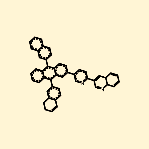 C1=CC2C=C(c3ccc(-c4ccc5c(-c6ccc7ccccc7c6)c6ccccc6c(-c6ccc7c(c6)CCC=C7)c5c4)cn3)C=NC2C=C1